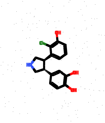 Oc1ccc([C@@H]2CNC[C@H]2c2cccc(O)c2Cl)cc1O